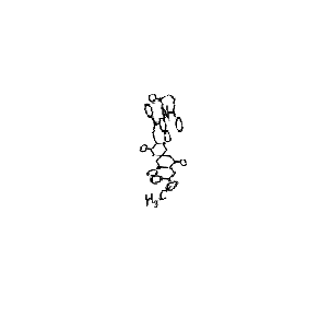 COC(=O)CC1C(=O)CC2(CC1=O)CC(=O)C(CC(=O)ON1C(=O)CCC1=O)C(=O)C2